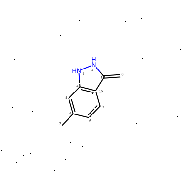 C=C1NNc2cc(C)ccc21